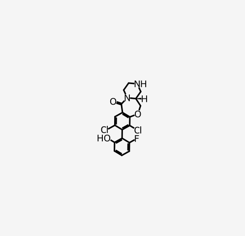 O=C1c2cc(Cl)c(-c3c(O)cccc3F)c(Cl)c2OC[C@H]2CNCCN12